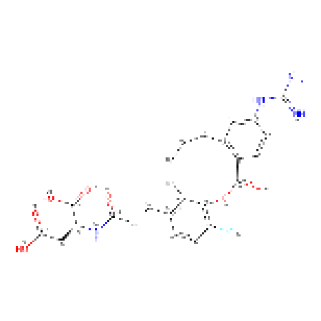 N=C(N)Nc1ccc2c(c1)CCCCc1c(CCC(=O)N[C@@H](CC(=O)O)C(=O)O)ccc(F)c1OC2=O